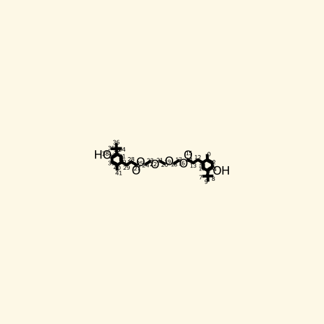 Cc1cc(O)c(C(C)(C)C)cc1CCC(=O)OCCOCCOCCOC(=O)CCc1cc(C(C)(C)C)c(O)cc1C